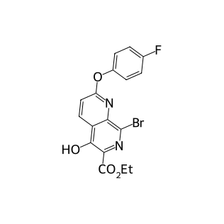 CCOC(=O)c1nc(Br)c2nc(Oc3ccc(F)cc3)ccc2c1O